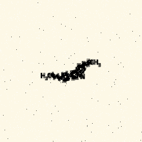 CCCCCC1CCC([C@H]2CC[C@](C#N)(C3CCC(CCCC)CC3)CC2)CC1